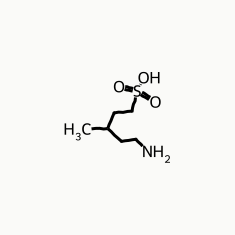 CC(CCN)CCS(=O)(=O)O